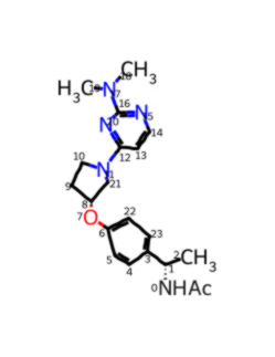 CC(=O)N[C@@H](C)c1ccc(O[C@@H]2CCN(c3ccnc(N(C)C)n3)C2)cc1